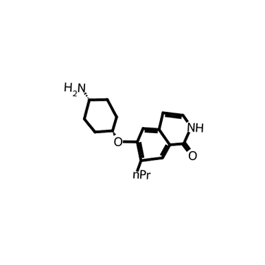 CCCc1cc2c(=O)[nH]ccc2cc1O[C@H]1CC[C@@H](N)CC1